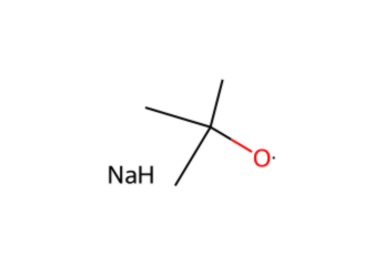 CC(C)(C)[O].[NaH]